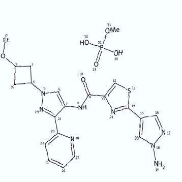 CCOC1CC(n2cc(NC(=O)c3csc(-c4cnn(N)c4)n3)c(-c3ccccn3)n2)C1.COP(=O)(O)O